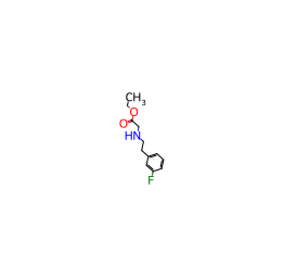 CCOC(=O)CNCCc1cccc(F)c1